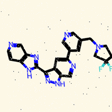 FC1(F)CCN(Cc2cncc(-c3cc4c(-c5nc6cnccc6[nH]5)n[nH]c4cn3)c2)C1